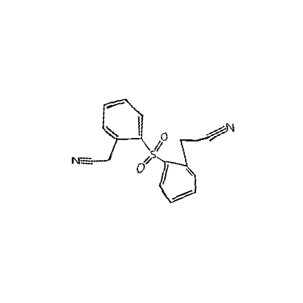 N#CCc1ccccc1S(=O)(=O)c1ccccc1CC#N